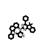 CC1(C)c2ccccc2-c2nc(-n3c4cccc5ccc6c7ccccc7n(c7ccncc73)c6c54)nc(-c3ccccc3)c21